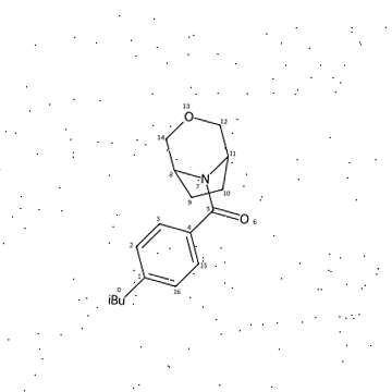 CCC(C)c1ccc(C(=O)N2C3CCC2COC3)cc1